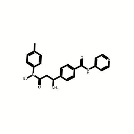 CCN(C(=O)CC(N)c1ccc(C(=O)Nc2ccncc2)cc1)c1ccc(C)cc1